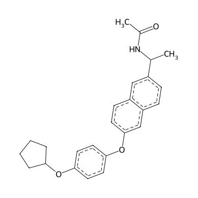 CC(=O)NC(C)c1ccc2cc(Oc3ccc(OC4CCCC4)cc3)ccc2c1